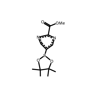 COC(=O)c1ncc(B2OC(C)(C)C(C)(C)O2)cn1